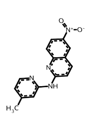 Cc1ccnc(Nc2ccc3cc([N+](=O)[O-])ccc3n2)c1